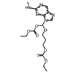 CCOC(=O)OCCCOC(OC(=O)OCC)n1cnc2cnc(NC)nc21